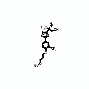 CCCCOCCCOc1ccc(-c2nnc(C(C)(N)CO)s2)cc1C(F)(F)F